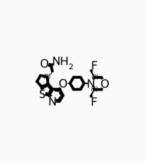 NC(=O)C[C@H]1CCc2sc3nccc(O[C@H]4CC[C@H](N5[C@H](CF)COC[C@@H]5CF)CC4)c3c21